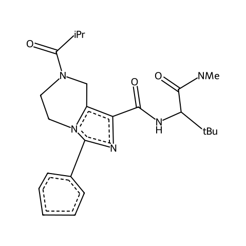 CNC(=O)C(NC(=O)c1nc(-c2ccccc2)n2c1CN(C(=O)C(C)C)CC2)C(C)(C)C